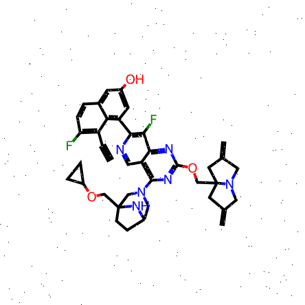 C#Cc1c(F)ccc2cc(O)cc(-c3ncc4c(N5CC6CCC(COC7CC7)(C5)N6)nc(OCC56CC(=C)CN5CC(=C)C6)nc4c3F)c12